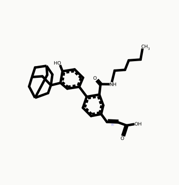 CCCCCNC(=O)c1cc(/C=C/C(=O)O)ccc1-c1ccc(O)c(C23CC4CC(CC(C4)C2)C3)c1